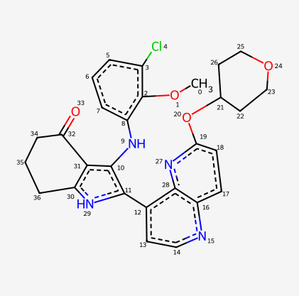 COc1c(Cl)cccc1Nc1c(-c2ccnc3ccc(OC4CCOCC4)nc23)[nH]c2c1C(=O)CCC2